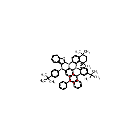 CC(C)(C)c1ccc(N2c3cc(N(c4ccccc4)c4ccccc4)cc4c3B(c3ccc5c(c3N4c3ccc(C(C)(C)C)cc3-c3ccccc3)C(C)(C)CCC5(C)C)c3oc4ccccc4c32)cc1